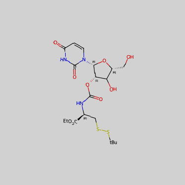 CCOC(=O)[C@H](CSSC(C)(C)C)NC(=O)O[C@H]1C(O)[C@@H](CO)O[C@H]1n1ccc(=O)[nH]c1=O